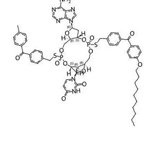 CCCCCCCCCCOc1ccc(C(=O)c2ccc(CSP3(=O)OC[C@H]4O[C@@H](n5ccc(=O)[nH]c5=O)[C@H](OP(=O)(SCc5ccc(C(=O)c6ccc(C)cc6)cc5)OC[C@H]5O[C@@H](n6cnc7c(N)ncnc76)C[C@@H]5O3)[C@@H]4F)cc2)cc1